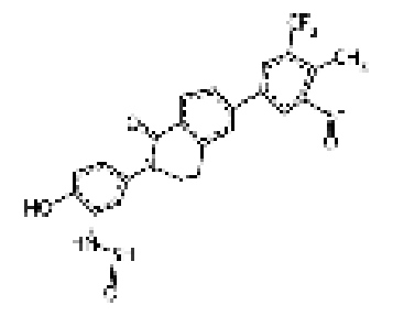 Cc1c([S+]=O)cc(-c2ccc3c(c2)CCN(c2ccc(O)c(N[SH]=O)c2)C3=O)cc1C(F)(F)F